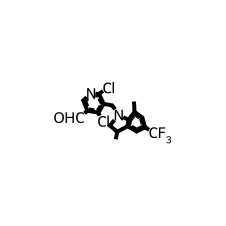 Cc1cc(C(F)(F)F)cc2c1N(Cc1c(Cl)ncc(C=O)c1Cl)CC2C